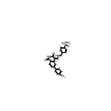 NS(=O)(=O)c1ccc(CN/C=C2\C(=O)NC(=O)c3ccc(-c4ccc(C(F)(F)F)cc4)cc32)cc1